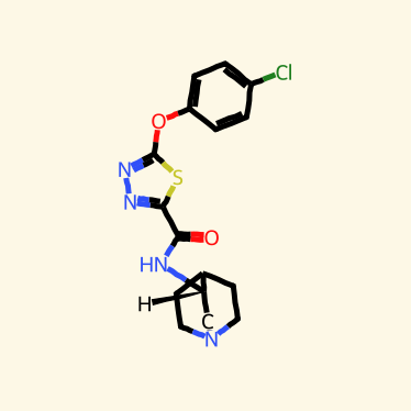 O=C(N[C@H]1CN2CCC1CC2)c1nnc(Oc2ccc(Cl)cc2)s1